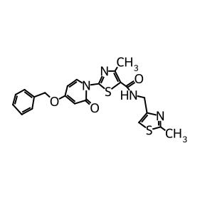 Cc1nc(CNC(=O)c2sc(-n3ccc(OCc4ccccc4)cc3=O)nc2C)cs1